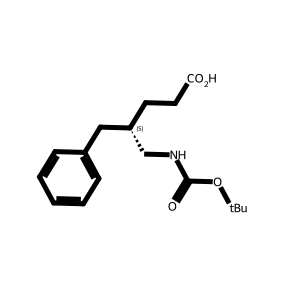 CC(C)(C)OC(=O)NC[C@@H](CCC(=O)O)Cc1ccccc1